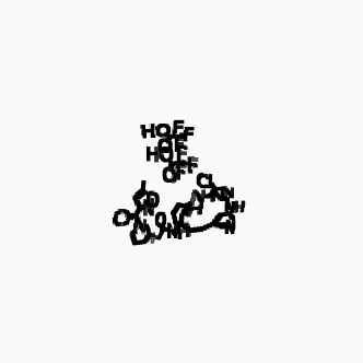 Cc1cc(C(=O)N2CCC[C@H](CC(=O)Nc3ccc4cc3CCc3cncc(c3)Nc3ncc(Cl)c(n3)N4)C2)no1.O=C(O)C(F)(F)F.O=C(O)C(F)(F)F